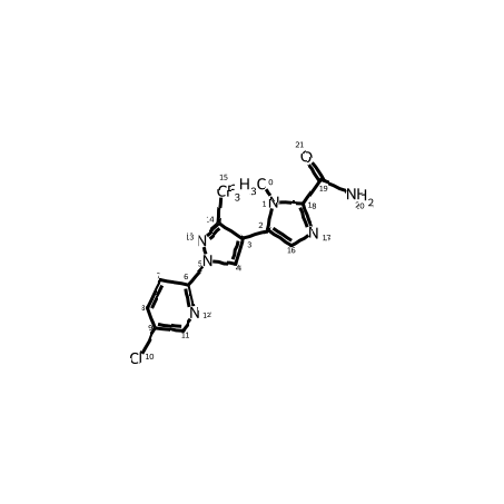 Cn1c(-c2cn(-c3ccc(Cl)cn3)nc2C(F)(F)F)cnc1C(N)=O